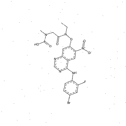 CCN(Oc1cc2ncnc(Nc3ccc(Br)cc3F)c2cc1[N+](=O)[O-])C(=O)CN(C)C(=O)O